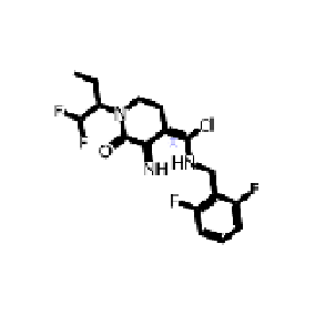 CCC(C(F)F)N1CC/C(=C(\Cl)NCc2c(F)cccc2F)C(=N)C1=O